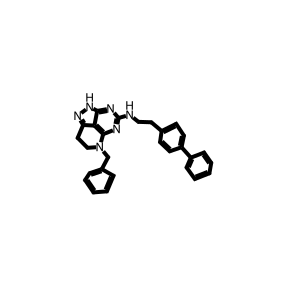 c1ccc(CN2CCc3n[nH]c4nc(NCCc5ccc(-c6ccccc6)cc5)nc2c34)cc1